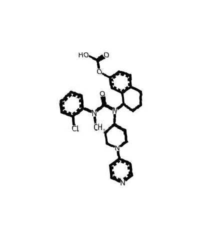 CN(C(=O)N(C1CCN(c2ccncc2)CC1)C1CCCc2ccc(OC(=O)O)cc21)c1ccccc1Cl